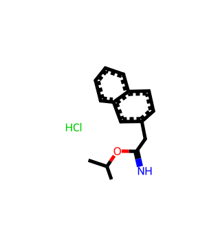 CC(C)OC(=N)Cc1ccc2ccccc2c1.Cl